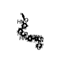 CC#CC(=O)NC1CCCN(c2ccnc(CC(=O)Nc3ccc(-c4cc5c(N6CCOCC6)ncnc5[nH]4)cc3)c2)C1